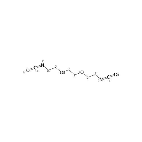 O=C=NCCOCCOCCN=C=O